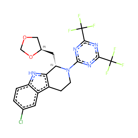 FC(F)(F)c1nc(N2CCc3c([nH]c4ccc(Cl)cc34)[C@@H]2C[C@@H]2COCO2)nc(C(F)(F)F)n1